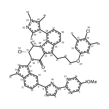 COc1cnc(-n2cnc(-c3ccc4c(c3)c(N3C(=O)c5c(CCCOc6cc(C)c(Cl)c(C)c6)c6cccc(-c7c(C)nn(C)c7C)c6n5C(C)[C@H]3Cl)cn4C)n2)nc1